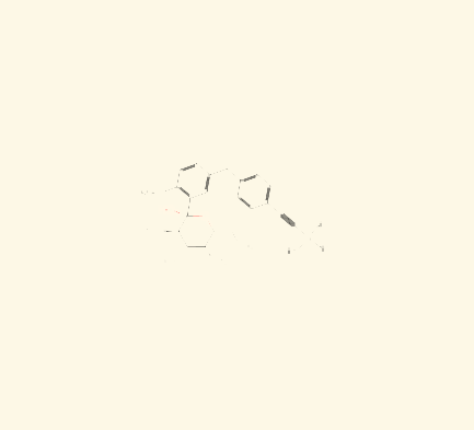 COc1ccc(Cc2ccc(C#C[Si](C(C)C)(C(C)C)C(C)C)cc2)cc1[C@]1(O)O[C@H](COC(C)=O)[C@@H](OC(C)=O)[C@H](OC(C)=O)[C@H]1OC(C)=O